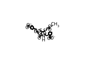 CCOC(=O)CCSC=C(C)C1C(NC(=O)Cc2ccccc2[N+](=O)[O-])C(=O)N1CC(=O)OCc1ccc([N+](=O)[O-])cc1